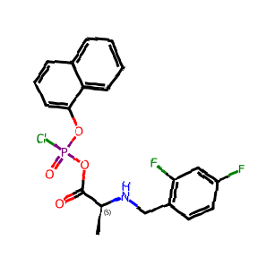 C[C@H](NCc1ccc(F)cc1F)C(=O)OP(=O)(Cl)Oc1cccc2ccccc12